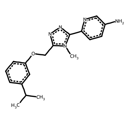 CC(C)c1cccc(OCc2nnc(-c3ccc(N)cn3)n2C)c1